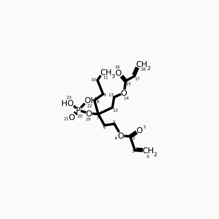 C=CC(=O)OCCC(CCCC)(CCOC(=O)C=C)OP(=O)(O)O